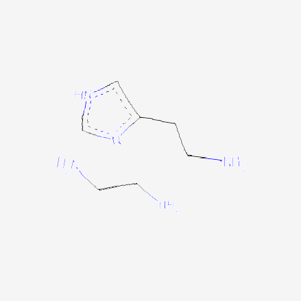 NCCN.NCCc1c[nH]cn1